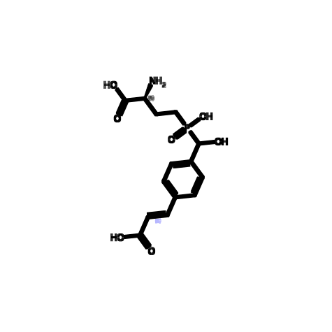 N[C@@H](CCP(=O)(O)C(O)c1ccc(/C=C/C(=O)O)cc1)C(=O)O